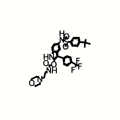 CC(C)(C)c1ccc(S(=O)(=O)Nc2ccc3[nH]c(OC(=O)NCCN4CCOCC4)c(-c4ccc(C(F)(F)F)cc4)c3c2)cc1